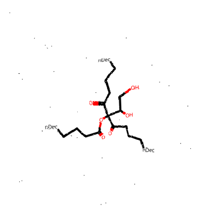 CCCCCCCCCCCCCC(=O)OC(C(=O)CCCCCCCCCCCCC)(C(=O)CCCCCCCCCCCCC)C(O)CO